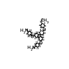 CCc1ccc(OC2CCC(c3ccc(Oc4ccc(N)cc4)cc3)(c3ccc(Oc4ccc(N)cc4)cc3)CC2)cc1